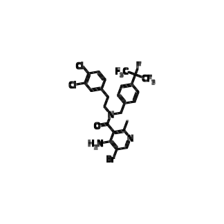 Cc1ncc(Br)c(N)c1C(=O)N(CCc1ccc(Cl)c(Cl)c1)Cc1ccc(C(F)(C(F)(F)F)C(F)(F)F)cc1